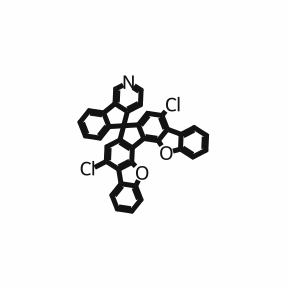 Clc1cc2c(c3oc4ccccc4c13)-c1c(cc(Cl)c3c1oc1ccccc13)C21c2ccccc2-c2cnccc21